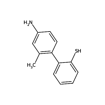 Cc1cc(N)ccc1-c1ccccc1S